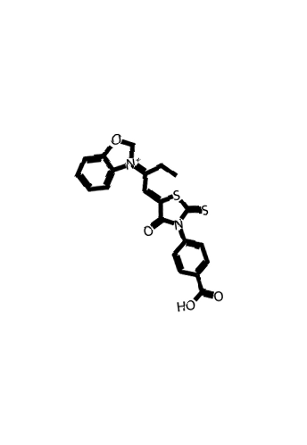 CCC(C=C1SC(=S)N(c2ccc(C(=O)O)cc2)C1=O)=[N+]1COc2ccccc21